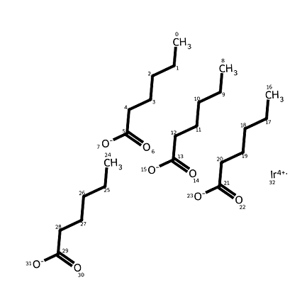 CCCCCC(=O)[O-].CCCCCC(=O)[O-].CCCCCC(=O)[O-].CCCCCC(=O)[O-].[Ir+4]